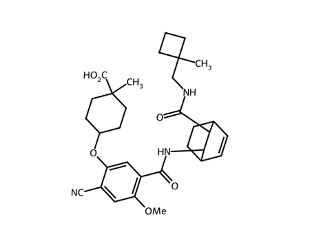 COc1cc(C#N)c(OC2CCC(C)(C(=O)O)CC2)cc1C(=O)NC1C2C=CC(CC2)C1C(=O)NCC1(C)CCC1